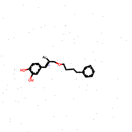 CC(=O)/C(=C\c1ccc(O)c(O)c1)COCCCCc1ccccc1